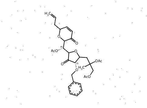 C=CCC1C=CC(=O)C([C@@H](OC(C)=O)C2OC(CC(C)(COC(C)=O)OC(C)=O)[C@H](OCc3ccccc3)C2=O)O1